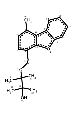 Cc1ccc(BOC(C)(C)C(C)(C)O)c2oc3ccccc3c12